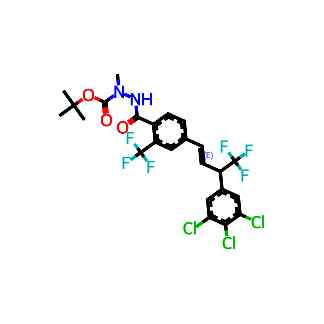 CN(NC(=O)c1ccc(/C=C/C(c2cc(Cl)c(Cl)c(Cl)c2)C(F)(F)F)cc1C(F)(F)F)C(=O)OC(C)(C)C